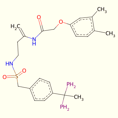 C=C(CCNS(=O)(=O)Cc1ccc(C(C)(P)P)cc1)NC(=O)COc1ccc(C)c(C)c1